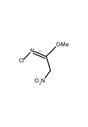 CO/C(C[N+](=O)[O-])=N/Cl